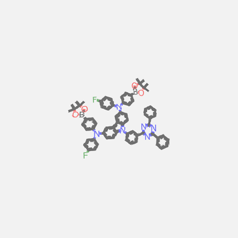 CC1(C)OB(c2ccc(N(c3ccc(F)cc3)c3ccc4c(c3)c3cc(N(c5ccc(F)cc5)c5ccc(B6OC(C)(C)C(C)(C)O6)cc5)ccc3n4-c3cccc(-c4nc(-c5ccccc5)nc(-c5ccccc5)n4)c3)cc2)OC1(C)C